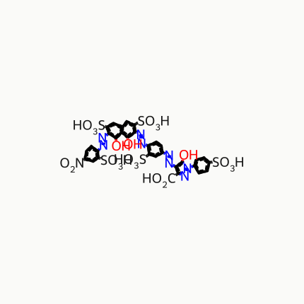 O=C(O)c1nn(-c2ccc(S(=O)(=O)O)cc2)c(O)c1N=Nc1ccc(N=Nc2c(S(=O)(=O)O)cc3cc(S(=O)(=O)O)c(N=Nc4ccc([N+](=O)[O-])cc4S(=O)(=O)O)c(O)c3c2O)c(S(=O)(=O)O)c1